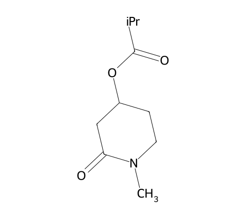 CC(C)C(=O)OC1CCN(C)C(=O)C1